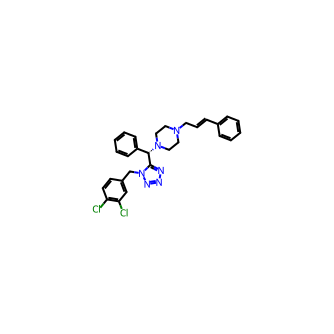 Clc1ccc(Cn2nnnc2[C@H](c2ccccc2)N2CCN(C/C=C/c3ccccc3)CC2)cc1Cl